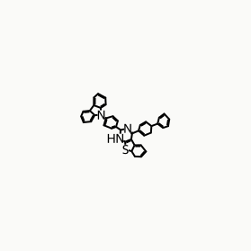 C1=CCC2SC3=C(C2=C1)C(C1=CCC(c2ccccc2)C=C1)=NC(c1ccc(-n2c4ccccc4c4ccccc42)cc1)N3